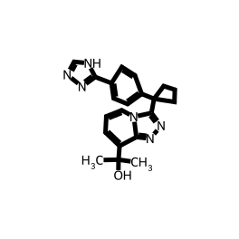 CC(C)(O)c1cccn2c(C3(c4ccc(-c5nnc[nH]5)cc4)CCC3)nnc12